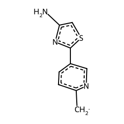 [CH2]c1ccc(-c2nc(N)cs2)cn1